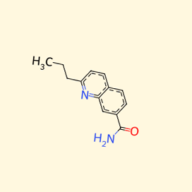 CCCc1ccc2ccc(C(N)=O)cc2n1